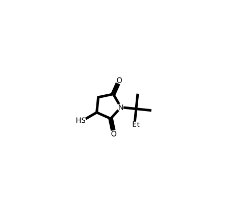 CCC(C)(C)N1C(=O)CC(S)C1=O